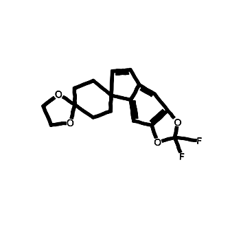 FC1(F)Oc2cc3c(cc2O1)C1(C=C3)CCC2(CC1)OCCO2